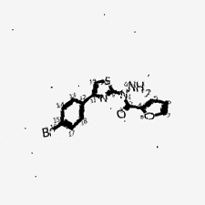 NN(C(=O)c1ccco1)c1nc(-c2ccc(Br)cc2)cs1